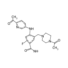 CC(=O)c1ccc(Nc2cc(F)c(C([NH])=O)cc2CN2CCN(C(C)=O)CC2)cn1